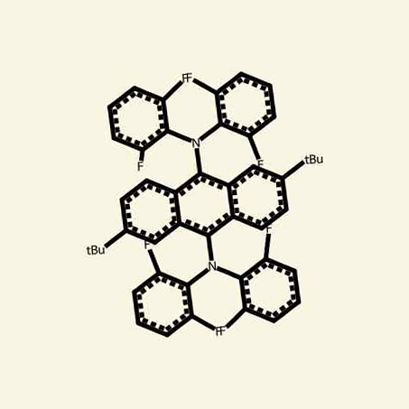 CC(C)(C)c1ccc2c(N(c3c(F)cccc3F)c3c(F)cccc3F)c3cc(C(C)(C)C)ccc3c(N(c3c(F)cccc3F)c3c(F)cccc3F)c2c1